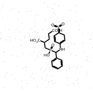 O=C(O)CCC(CP(=O)(O)C(NC1=CCC(=S(=O)=O)C=C1)c1ccccc1)C(=O)O